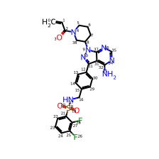 C=CC(=O)N1CCCC(n2nc(-c3ccc(CNS(=O)(=O)c4cccc(F)c4F)cc3)c3c(N)ncnc32)C1